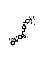 CC(C)N1CCC(Oc2ccc(C=Cc3n[nH]c4cc([C@@H]5C[C@@]56C(=O)Nc5ccccc56)ccc34)cc2)CC1